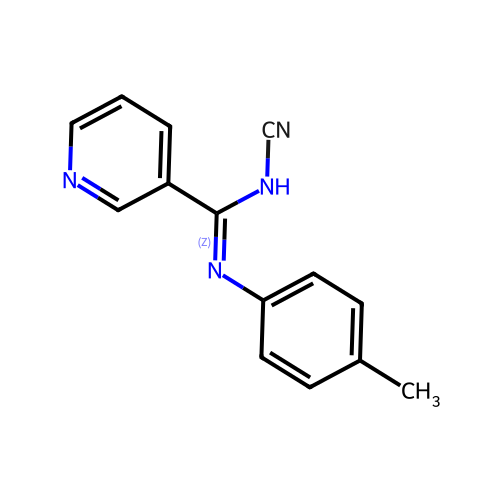 Cc1ccc(/N=C(\NC#N)c2cccnc2)cc1